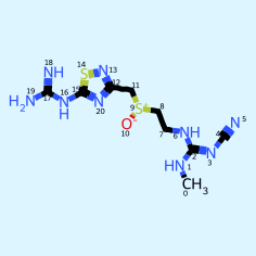 CN/C(=N/C#N)NCC[S+]([O-])Cc1nsc(NC(=N)N)n1